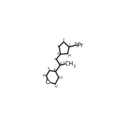 CC(C)C1CCC(CC(C)C2CCOCC2)C1